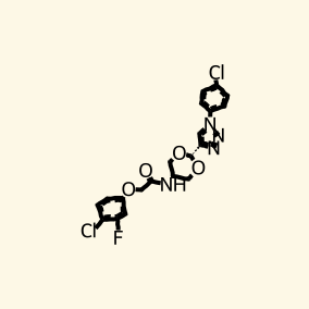 O=C(COc1ccc(Cl)c(F)c1)N[C@H]1CO[C@@H](c2cn(-c3ccc(Cl)cc3)nn2)OC1